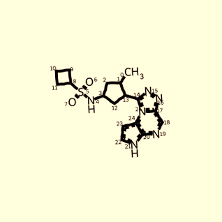 CC1CC(NS(=O)(=O)C2CCC2)CC1c1nnc2cnc3[nH]ccc3n12